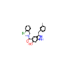 Cc1cccc(Cc2n[nH]c3cc(O)c(C(=O)N(C)Cc4ccccc4Br)cc23)c1